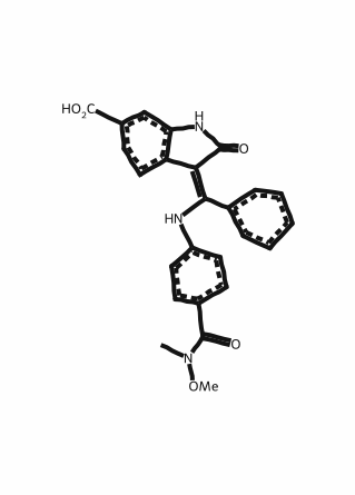 CON(C)C(=O)c1ccc(N/C(=C2/C(=O)Nc3cc(C(=O)O)ccc32)c2ccccc2)cc1